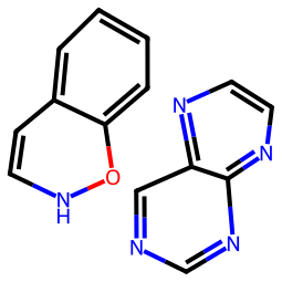 C1=Cc2ccccc2ON1.c1cnc2ncncc2n1